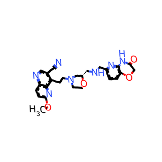 COc1ccc2ncc(C#N)c(CCN3CCO[C@@H](CNCc4ccc5c(n4)NC(=O)CO5)C3)c2n1